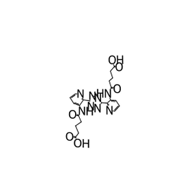 O=C(O)CCCC(=O)Nc1cccnc1-c1nnc(-c2ncccc2NC(=O)CCCC(=O)O)nn1